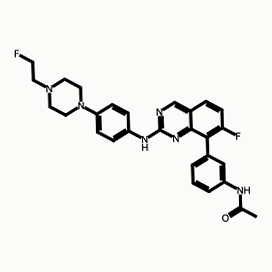 CC(=O)Nc1cccc(-c2c(F)ccc3cnc(Nc4ccc(N5CCN(CCF)CC5)cc4)nc23)c1